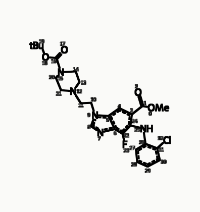 COC(=O)c1cc2c(ncn2CCN2CCN(C(=O)OC(C)(C)C)CC2)c(F)c1Nc1ccccc1Cl